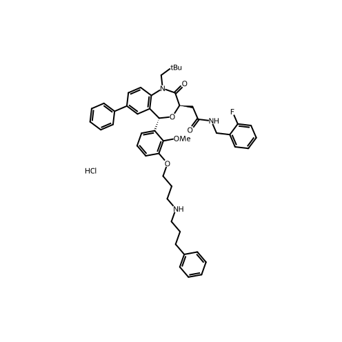 COc1c(OCCCNCCCc2ccccc2)cccc1[C@H]1O[C@H](CC(=O)NCc2ccccc2F)C(=O)N(CC(C)(C)C)c2ccc(-c3ccccc3)cc21.Cl